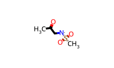 CC(=O)C[N]S(C)(=O)=O